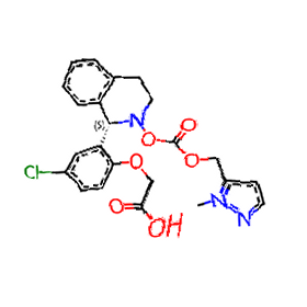 Cn1nccc1COC(=O)ON1CCc2ccccc2[C@H]1c1cc(Cl)ccc1OCC(=O)O